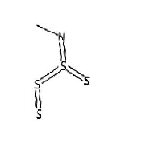 CN=S(=S)=S=S